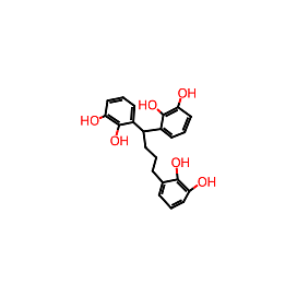 Oc1cccc(CCCC(c2cccc(O)c2O)c2cccc(O)c2O)c1O